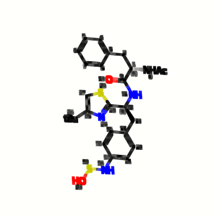 CC(=O)N[C@@H](Cc1ccccc1)C(=O)N[C@@H](Cc1ccc(NSO)cc1)c1nc(C(C)(C)C)cs1